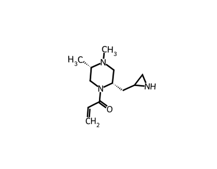 C=CC(=O)N1C[C@H](C)N(C)C[C@@H]1CC1CN1